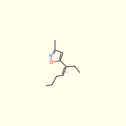 CCC/C=C(/CC)c1cc(C)no1